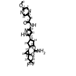 COc1cnc(CC(=O)Nc2cc([C@H]3CC[C@@H](C4CC4(CC(F)(F)F)OC(N)=O)C3)[nH]n2)cn1